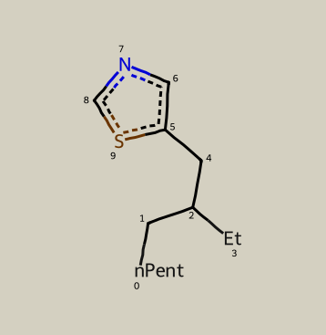 CCCCCCC(CC)Cc1cncs1